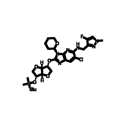 Cn1cc(F)c(CNc2nc3c(cc2Cl)nc(O[C@@H]2CO[C@H]4[C@@H]2OC[C@H]4O[Si](C)(C)C(C)(C)C)n3C2CCCCO2)n1